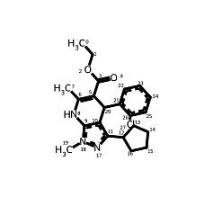 CCOC(=O)C1=C(C)Nc2c(c(C3CCCC3)nn2C)C1c1ccccc1Cl